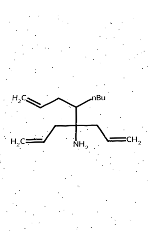 C=CCC(CCCC)C(N)(CC=C)CC=C